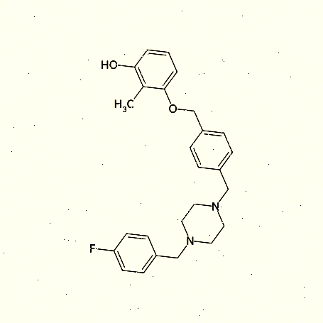 Cc1c(O)cccc1OCc1ccc(CN2CCN(Cc3ccc(F)cc3)CC2)cc1